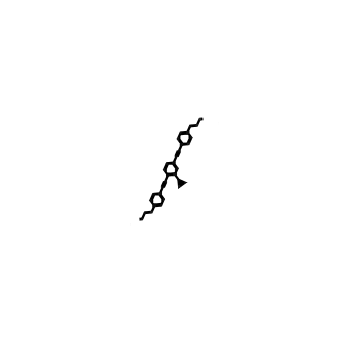 CCCCc1ccc(C#Cc2ccc(C#Cc3ccc(CCCC)cc3)c(C3CC3)c2)cc1